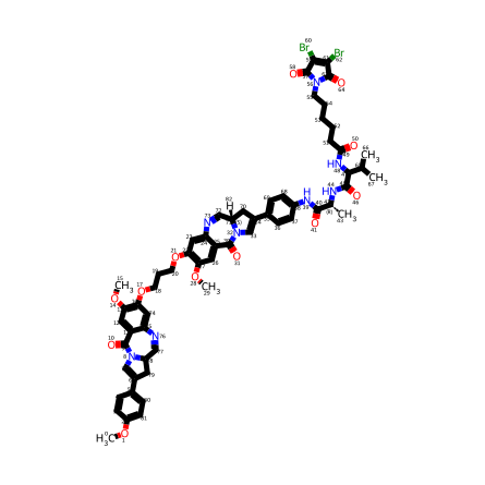 COc1ccc(C2=CN3C(=O)c4cc(OC)c(OCCCOc5cc6c(cc5OC)C(=O)N5C=C(c7ccc(NC(=O)[C@@H](C)NC(=O)C(NC(=O)CCCCCN8C(=O)C(Br)=C(Br)C8=O)C(C)C)cc7)C[C@H]5C=N6)cc4N=CC3C2)cc1